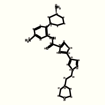 Nc1ccc(N2CCC[C@@H](N)C2)c(NC(=O)c2csc(-c3cnn(CCN4CCOCC4)c3)n2)c1